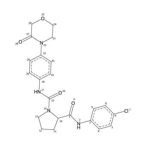 O=C(Nc1ccc(Cl)cc1)C1CCCN1C(=O)Nc1ccc(N2CCOCC2=O)cc1